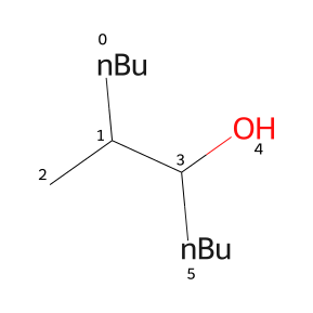 CCCCC(C)C(O)CCCC